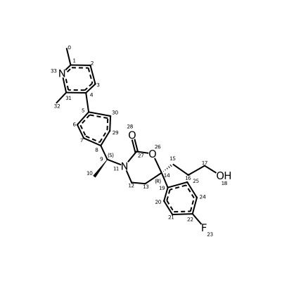 Cc1ccc(-c2ccc([C@H](C)N3CC[C@](CCCO)(c4ccc(F)cc4)OC3=O)cc2)c(C)n1